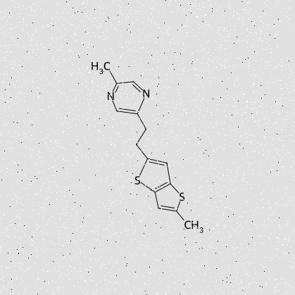 Cc1cnc(CCc2cc3sc(C)cc3s2)cn1